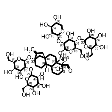 C=C1C[C@@]23CC[C@@]4(NO[C@@H]5O[C@H](CO)[C@@H](O[C@@H]6O[C@H](CO)[C@@H](O)[C@H](O)[C@H]6O)[C@H](O)[C@H]5O[C@@H]5OC[C@@H](O)[C@H](O)[C@H]5O)[C@@](C)(CCC[C@@]4(C)C=O)[C@@H]2CC[C@]1(O[C@@H]1O[C@H](CO)[C@@H](O)[C@H](O)[C@H]1O[C@@H]1O[C@H](CO)[C@@H](O)[C@H](O)[C@H]1O)C3